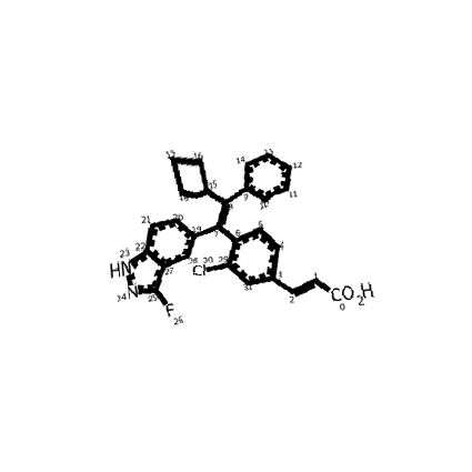 O=C(O)C=Cc1ccc(C(=C(c2ccccc2)C2CCC2)c2ccc3[nH]nc(F)c3c2)c(Cl)c1